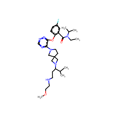 CCN(C(=O)c1cc(F)ccc1Oc1nncnc1N1CCC2(C1)CN(C(CCNCCOC)C(C)C)C2)C(C)C